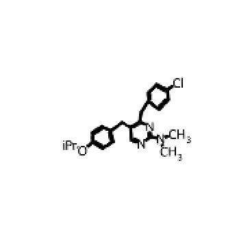 CC(C)Oc1ccc(Cc2cnc(N(C)C)nc2Cc2ccc(Cl)cc2)cc1